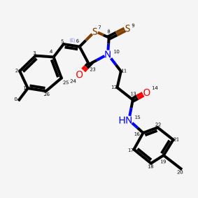 Cc1ccc(/C=C2/SC(=S)N(CCC(=O)Nc3ccc(C)cc3)C2=O)cc1